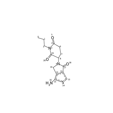 CCCN1C(=O)CCC(N2Cc3c(csc3N)C2=O)C1=O